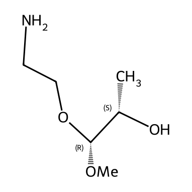 CO[C@H](OCCN)[C@H](C)O